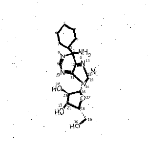 NC1(C2CCCCC2)N=CN=C2C1=NCN2[C@@H]1O[C@H](CO)[C@@H](O)[C@H]1O.[N]